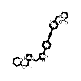 C[C@H](OC1CCCCO1)c1nccn1Cc1cc(-c2ccc(C#Cc3ccc(CN4CCCS4(=O)=O)nc3)cc2)on1